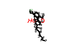 CCCCCCC(C)(C)c1cc(O)c2c(c1)OC(C)C1CCC(CF)=C[C@H]21